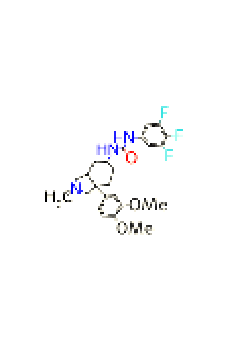 COc1ccc(C23CCC(NC(=O)Nc4cc(F)c(F)c(F)c4)CC2CN(C)C3)cc1OC